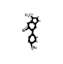 CCCCc1ccc(-c2cc3c(cc2Br)C(C)C=C3)cc1